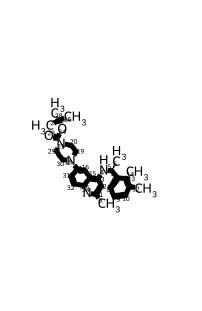 Cc1cc(N[C@H](C)c2cccc(C)c2C)c2cc(N3CCN(C(=O)OC(C)(C)C)CC3)ccc2n1